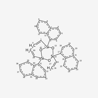 C=C[Si]1(c2cccc3ccccc23)O[Si](C=C)(c2cccc3ccccc23)O[Si](C=C)(c2cccc3ccccc23)O1